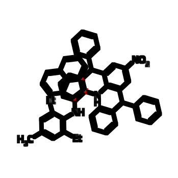 CCc1cc(C)cc(CC)c1NC1=C(Nc2c(C(c3ccccc3)c3ccccc3)cc([N+](=O)[O-])cc2C(c2ccccc2)c2ccccc2)c2cccc3cccc1c23